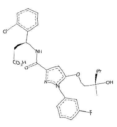 CC(C)[C@](C)(O)COc1cc(C(=O)N[C@@H](CC(=O)O)c2ccccc2Cl)nn1-c1cccc(F)c1